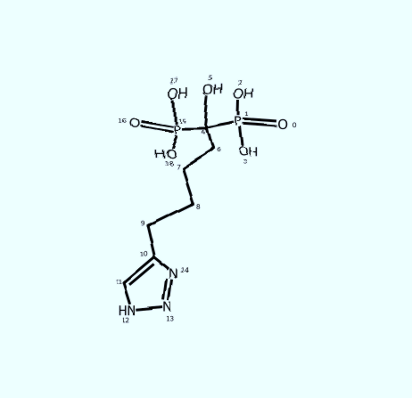 O=P(O)(O)C(O)(CCCCc1c[nH]nn1)P(=O)(O)O